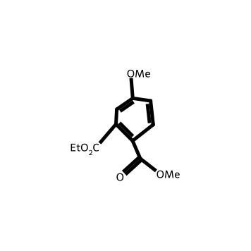 CCOC(=O)c1cc(OC)ccc1C(=O)OC